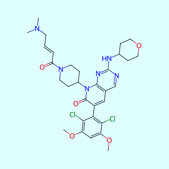 COc1cc(OC)c(Cl)c(-c2cc3cnc(NC4CCOCC4)nc3n(C3CCN(C(=O)/C=C/CN(C)C)CC3)c2=O)c1Cl